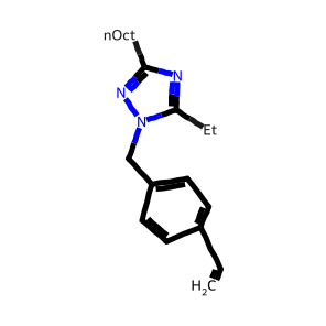 C=Cc1ccc(Cn2nc(CCCCCCCC)nc2CC)cc1